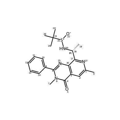 Cc1cc2c(=O)n(C)c(-c3ccccc3)nc2c([C@@H](C)N[S+]([O-])C(C)(C)C)n1